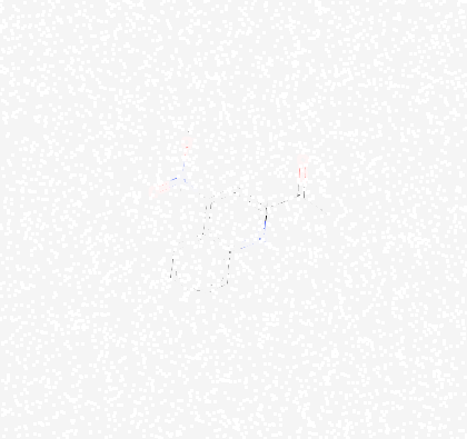 CC(=O)c1cc([N+](=O)[O-])c2ccccc2n1